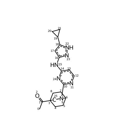 CC(=O)C12CCC(CC1)N(c1nccc(Nc3cc(C4CC4)[nH]n3)n1)C2